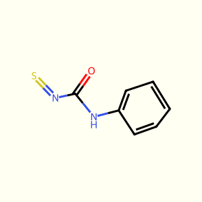 O=C(N=S)Nc1ccccc1